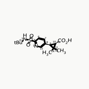 CC(C)(C)NS(=O)(=O)c1ccc([C@H]2[C@H](C(=O)O)C2(C)C)cn1